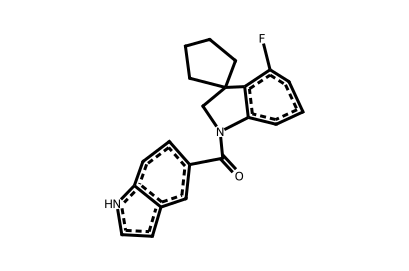 O=C(c1ccc2[nH]ccc2c1)N1CC2(CCCC2)c2c(F)cccc21